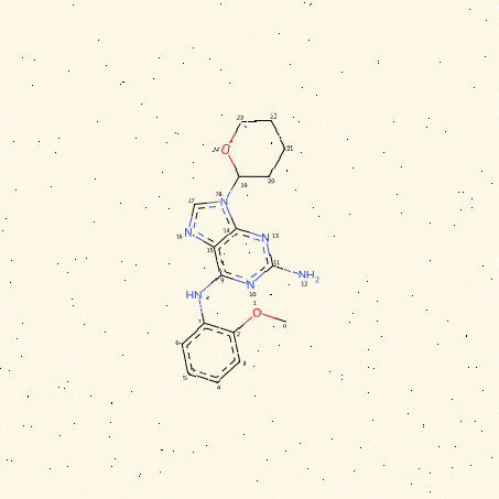 COc1ccccc1Nc1nc(N)nc2c1ncn2C1CCCCO1